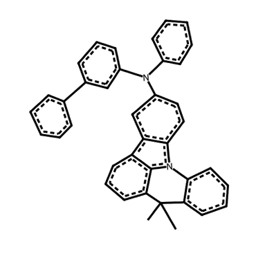 CC1(C)c2ccccc2-n2c3ccc(N(c4ccccc4)c4cccc(-c5ccccc5)c4)cc3c3cccc1c32